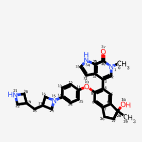 Cn1cc(-c2cc3c(cc2Oc2ccc(N4CC(CC5CNC5)C4)cc2)CCC3(C)O)c2cc[nH]c2c1=O